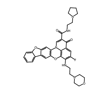 O=C(NCCN1CCCC1)c1cn2c3c(c(NCCN4CCOCC4)c(F)cc3c1=O)Oc1cc3c(cc1-2)oc1ccccc13